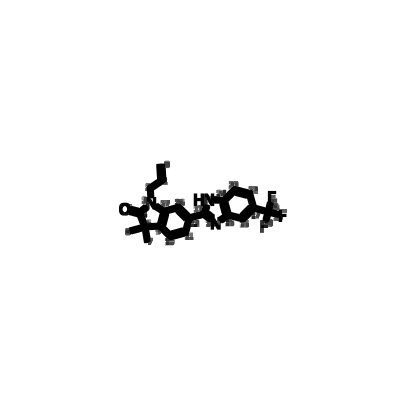 C=CCN1C(=O)C(C)(C)c2ccc(-c3nc4cc(C(F)(F)F)ccc4[nH]3)cc21